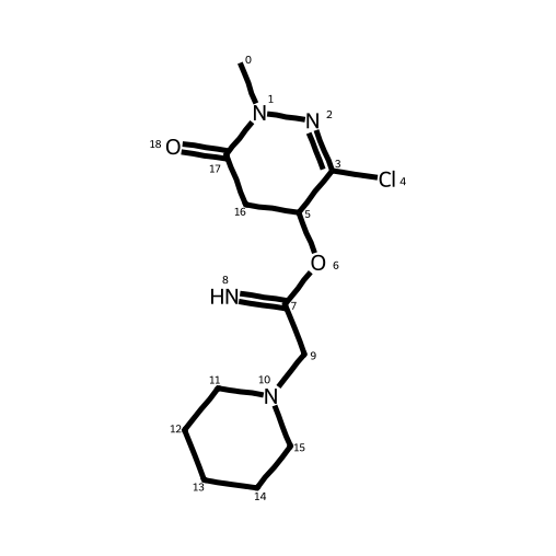 CN1N=C(Cl)C(OC(=N)CN2CCCCC2)CC1=O